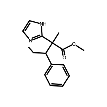 CCC(c1ccccc1)C(C)(C(=O)OC)c1ncc[nH]1